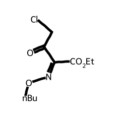 CCCCON=C(C(=O)CCl)C(=O)OCC